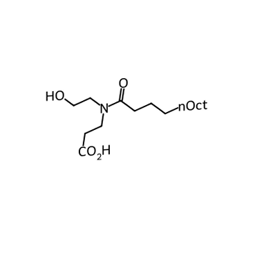 CCCCCCCCCCCC(=O)N(CCO)CCC(=O)O